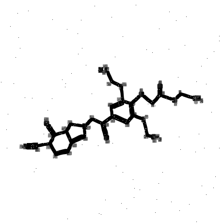 CCOC(=O)COc1c(SCC)cc(C(=O)CN2C=C3C=CC(C#N)C(=O)C3C2)cc1SCC